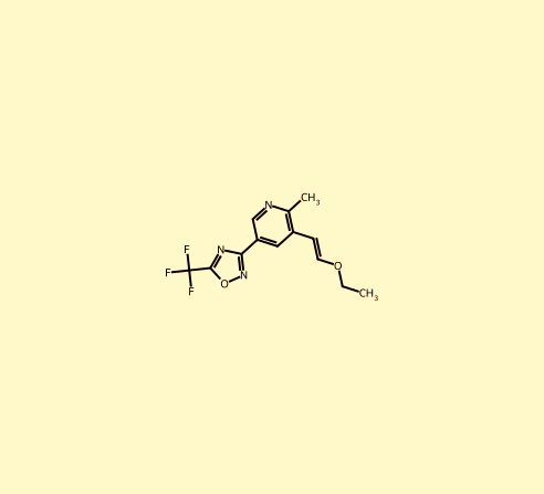 CCOC=Cc1cc(-c2noc(C(F)(F)F)n2)cnc1C